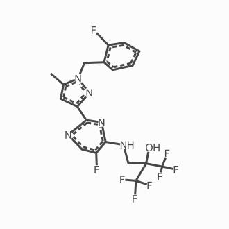 Cc1cc(-c2ncc(F)c(NCC(O)(C(F)(F)F)C(F)(F)F)n2)nn1Cc1ccccc1F